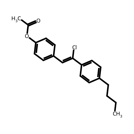 CCCCc1ccc(/C(Cl)=C/c2ccc(OC(C)=O)cc2)cc1